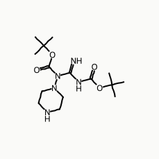 CC(C)(C)OC(=O)NC(=N)N(C(=O)OC(C)(C)C)N1CCNCC1